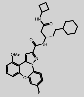 COc1cccc(O)c1-c1cc(C(=O)N[C@@H](CCC2CCCCC2)CC(=O)NC2CCC2)nn1C1=C=C=C(F)C=C1